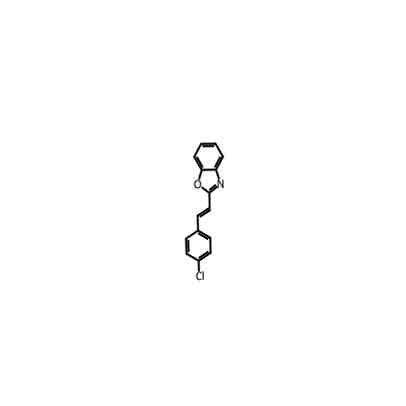 Clc1ccc(C=Cc2nc3ccccc3o2)cc1